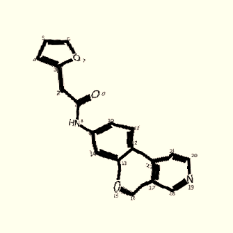 O=C(Cc1ccco1)Nc1ccc2c(c1)OCc1cnccc1-2